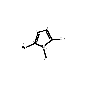 Cn1c(F)ccc1Br